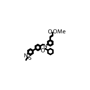 COC(=O)/C=C/c1cccc(N(Cc2ccc(-c3ccc4nc(C)sc4c3)cc2)C(=O)C2CCCCC2)c1